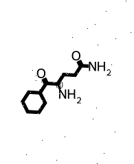 NC(=O)CC[C@@H](N)C(=O)[C]1CCCCC1